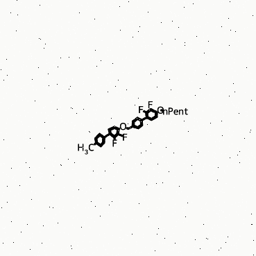 CCCCCOc1ccc(-c2ccc(COc3ccc(-c4ccc(C)cc4)c(F)c3F)cc2)c(F)c1F